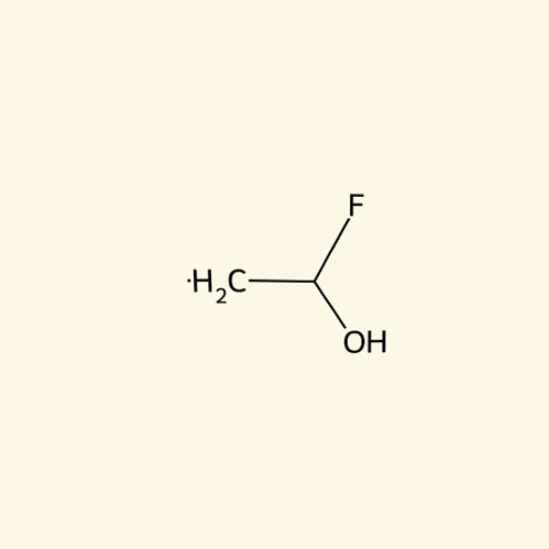 [CH2]C(O)F